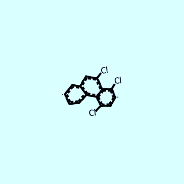 Clc1[c]cc(Cl)c2c1c(Cl)cc1c[c]ccc12